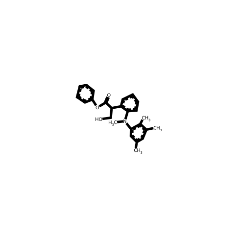 Cc1cc(C)c(C)c(N(C)c2ccccc2C(CO)C(=O)Oc2ccccc2)c1